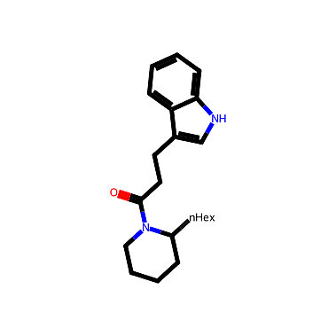 CCCCCCC1CCCCN1C(=O)CCc1c[nH]c2ccccc12